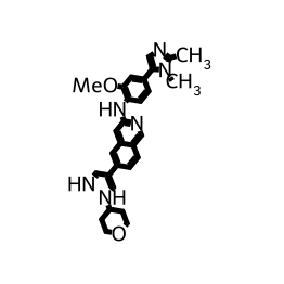 COc1cc(-c2cnc(C)n2C)ccc1Nc1cc2cc(/C(C=N)=C/NC3CCOCC3)ccc2cn1